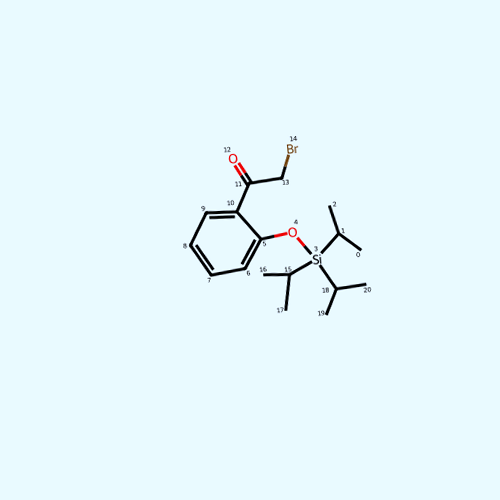 CC(C)[Si](Oc1ccccc1C(=O)CBr)(C(C)C)C(C)C